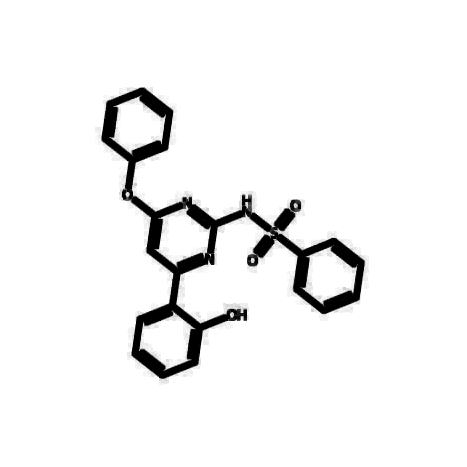 O=S(=O)(Nc1nc(Oc2ccccc2)cc(-c2ccccc2O)n1)c1ccccc1